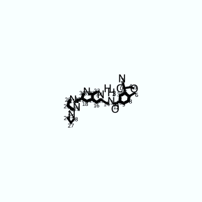 C[C@@]1(C#N)COCc2ccc(C(=O)NCc3cc4cc(-c5nccc(N6CCC6)n5)cnc4cn3)cc21